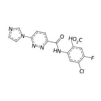 O=C(Nc1cc(Cl)c(F)cc1C(=O)O)c1ccc(-n2ccnc2)nn1